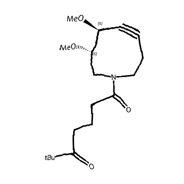 CO[C@H]1C#CCCN(C(=O)CCCC(=O)C(C)(C)C)C[C@@H]1OC